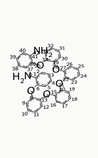 Nc1ccccc1Oc1ccccc1Oc1ccccc1Oc1ccccc1Oc1ccccc1Oc1ccccc1N